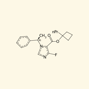 CCCC1(OC(=O)c2c(F)ncn2[C@H](C)c2ccccc2)CCC1